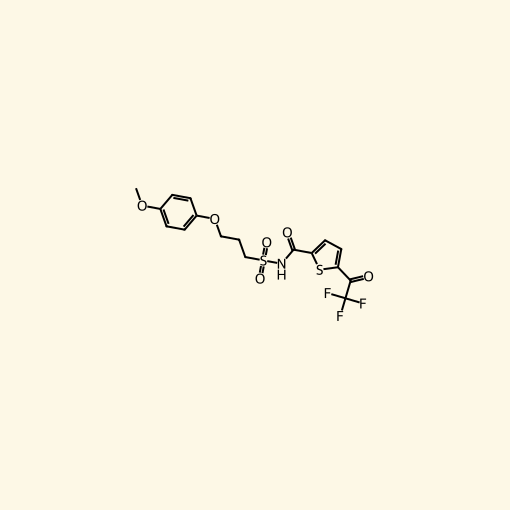 COc1ccc(OCCCS(=O)(=O)NC(=O)c2ccc(C(=O)C(F)(F)F)s2)cc1